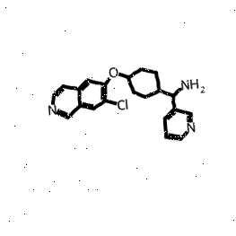 NC(c1cccnc1)C1CCC(Oc2cc3ccncc3cc2Cl)CC1